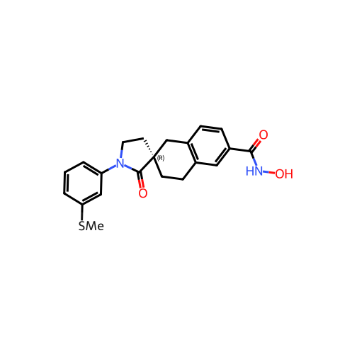 CSc1cccc(N2CC[C@]3(CCc4cc(C(=O)NO)ccc4C3)C2=O)c1